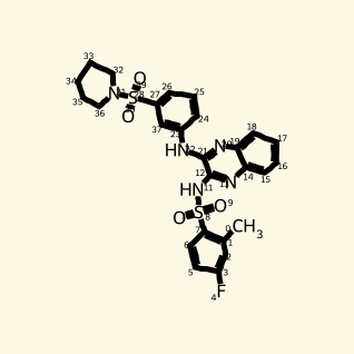 Cc1cc(F)ccc1S(=O)(=O)Nc1nc2ccccc2nc1Nc1cccc(S(=O)(=O)N2CCCCC2)c1